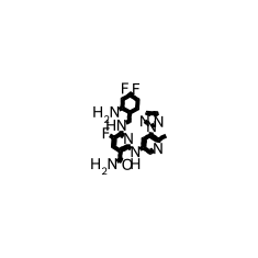 Cc1ncc(Nc2nc(NCC3CCC(F)(F)CC3N)c(F)cc2C(N)=O)cc1-n1nccn1